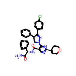 NC(=O)[C@@H](NC(=O)c1cnc(C2=CCOCC2)nc1N1CC(c2ccccc2)C(c2ccc(Cl)cc2)=N1)c1ccccc1